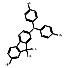 CCCc1ccc(N(c2ccc(CCC)cc2)c2ccc3c(c2)C(C)(C)c2cc(CCC)ccc2-3)cc1